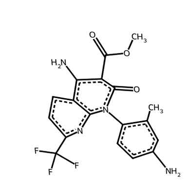 COC(=O)c1c(N)c2ccc(C(F)(F)F)nc2n(-c2ccc(N)cc2C)c1=O